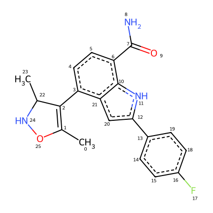 CC1=C(c2ccc(C(N)=O)c3[nH]c(-c4ccc(F)cc4)cc23)C(C)NO1